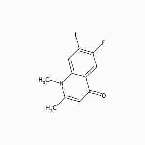 Cc1cc(=O)c2cc(F)c(I)cc2n1C